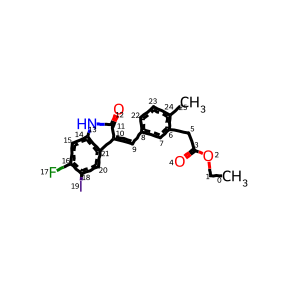 CCOC(=O)Cc1cc(/C=C2\C(=O)Nc3cc(F)c(I)cc32)ccc1C